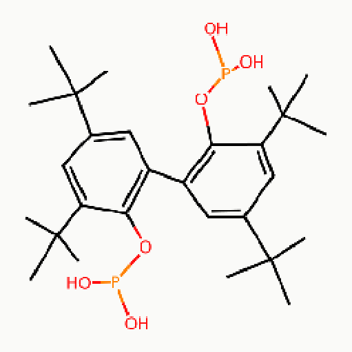 CC(C)(C)c1cc(-c2cc(C(C)(C)C)cc(C(C)(C)C)c2OP(O)O)c(OP(O)O)c(C(C)(C)C)c1